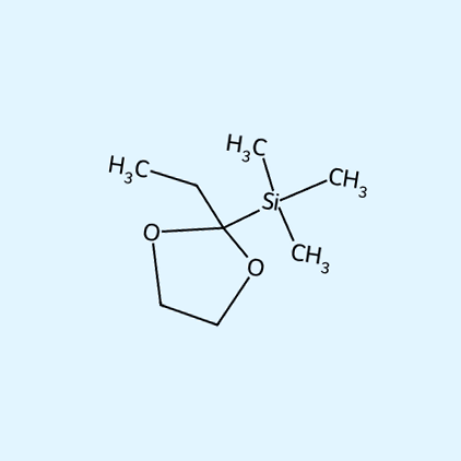 CCC1([Si](C)(C)C)OCCO1